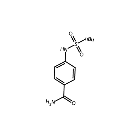 CCCCS(=O)(=O)Nc1ccc(C(N)=O)cc1